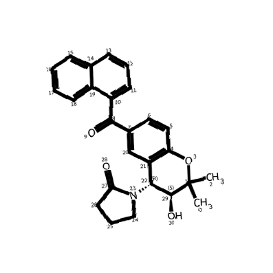 CC1(C)Oc2ccc(C(=O)c3cccc4ccccc34)cc2[C@@H](N2CCCC2=O)[C@@H]1O